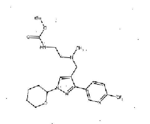 CN(CCNC(=O)OC(C)(C)C)Cc1cn(C2CCCCO2)nc1-c1ccc(C(F)(F)F)nc1